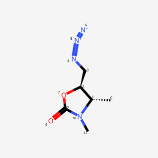 C[C@H]1[C@H](CN=[N+]=[N-])OC(=O)N1C